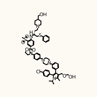 Cc1c(COCO)c(-c2cccc(N3CCN(c4ccc(N5CCO[P@@]5(=O)c5ccc(N[C@H](CCN6CCC(CO)CC6)CSc6ccccc6)c(S(C)(=O)=O)c5)cc4)CC3)c2)c(-c2ccc(Cl)cc2)n1C(C)C